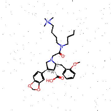 CCCCN(CCCC[N+](C)(C)C)C(=O)CN1C[C@H](c2ccc3c(c2)OCO3)[C@@H](C(=O)O)[C@@H]1Cc1ccccc1OC